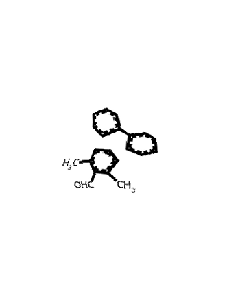 Cc1cccc(C)c1C=O.c1ccc(-c2ccccc2)cc1